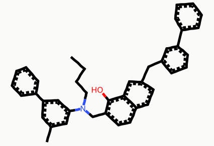 CCCCN(Cc1ccc2ccc(Cc3cccc(-c4ccccc4)c3)cc2c1O)c1cc(C)cc(-c2ccccc2)c1